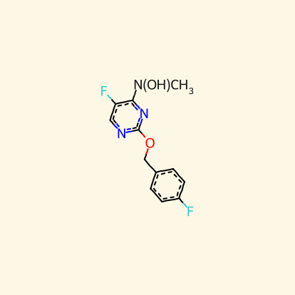 CN(O)c1nc(OCc2ccc(F)cc2)ncc1F